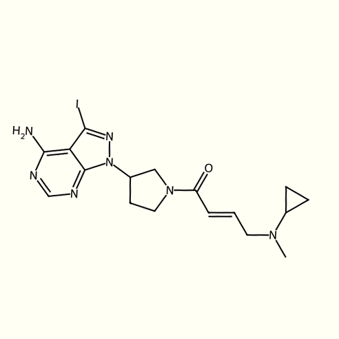 CN(CC=CC(=O)N1CCC(n2nc(I)c3c(N)ncnc32)C1)C1CC1